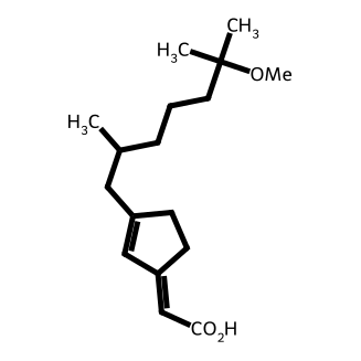 COC(C)(C)CCCC(C)CC1=C/C(=C/C(=O)O)CC1